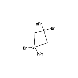 CCC[Si]1(Br)C[Si](Br)(CCC)C1